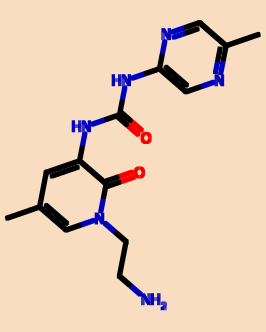 Cc1cc(NC(=O)Nc2cnc(C)cn2)c(=O)n(CCN)c1